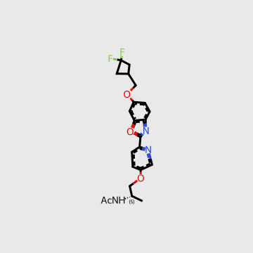 CC(=O)N[C@@H](C)COc1ccc(-c2nc3ccc(OCC4CC(F)(F)C4)cc3o2)nc1